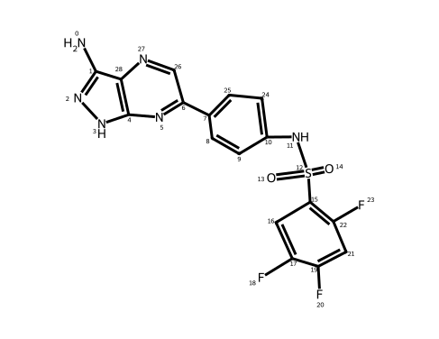 Nc1n[nH]c2nc(-c3ccc(NS(=O)(=O)c4cc(F)c(F)cc4F)cc3)cnc12